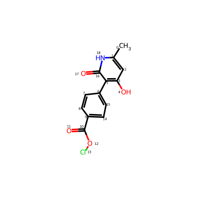 Cc1cc(O)c(-c2ccc(C(=O)OCl)cc2)c(=O)[nH]1